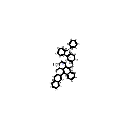 N/C=C\c1c(CI)c(-c2ccc3ccccc3c2)c2ccccc2c1SC1=Cc2c(n(-c3ccccc3)c3ccccc23)CC1